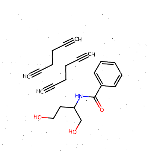 C#CCCC#C.C#CCCC#C.O=C(NC(CO)CCO)c1ccccc1